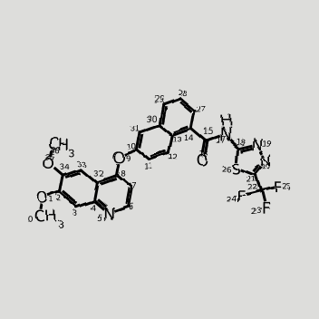 COc1cc2nccc(Oc3ccc4c(C(=O)Nc5nnc(C(F)(F)F)s5)cccc4c3)c2cc1OC